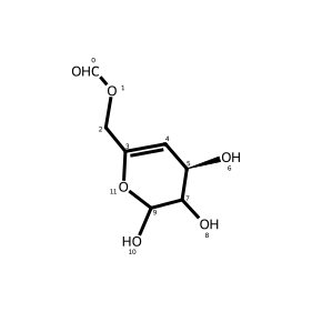 O=COCC1=C[C@@H](O)C(O)C(O)O1